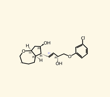 O[C@H](/C=C/[C@@H]1[C@H]2CC[CH]CO[C@H]2C[C@H]1O)COc1cccc(Cl)c1